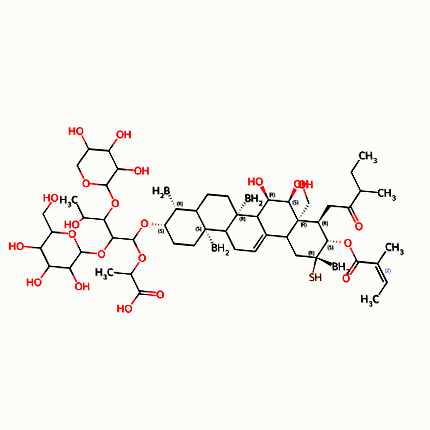 B[C@@H]1C2CC[C@@]3(B)C4C(=CCC3[C@@]2(B)CC[C@@H]1OC(OC(C)C(=O)O)C(OC1OC(CO)C(O)C(O)C1O)C(OC1OCC(O)C(O)C1O)C(C)O)C1C[C@@](B)(S)[C@@H](OC(=O)/C(C)=C\C)[C@H](CC(=O)C(C)CC)[C@]1(CO)[C@H](O)[C@@H]4O